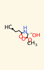 C#CCCC(=O)N[C@H](CO)C(=O)OC